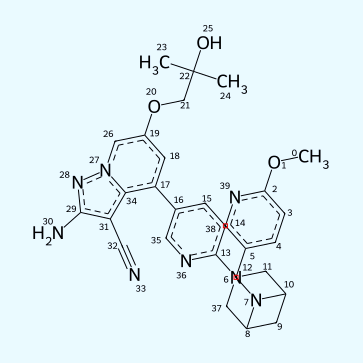 COc1ccc(CN2C3CC2CN(c2ccc(-c4cc(OCC(C)(C)O)cn5nc(N)c(C#N)c45)cn2)C3)cn1